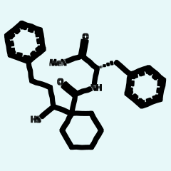 CNC(=O)[C@H](Cc1ccccc1)NC(=O)C1(C(S)CCc2ccccc2)CCCCC1